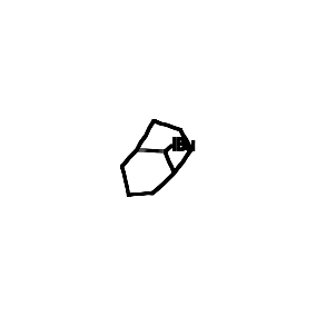 CCC(C)C1C2CCCC1CCC2